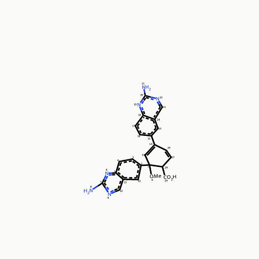 COC1(c2ccc3nc(N)ncc3c2)C=C(c2ccc3nc(N)ncc3c2)C=CC1C(=O)O